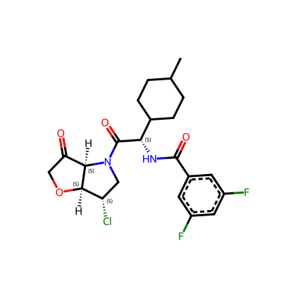 CC1CCC([C@H](NC(=O)c2cc(F)cc(F)c2)C(=O)N2C[C@H](Cl)[C@H]3OCC(=O)[C@H]32)CC1